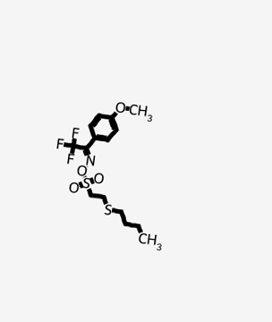 CCCCSCCS(=O)(=O)ON=C(c1ccc(OC)cc1)C(F)(F)F